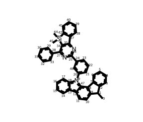 CC1c2ccccc2-c2c1ccc1c3ccccc3n(-c3cccc(-c4nc(-c5ccccc5)c5c(n4)-c4ccccc4[Si]5(C)C)c3)c21